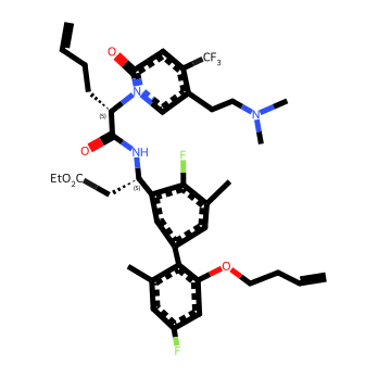 C=CCCOc1cc(F)cc(C)c1-c1cc(C)c(F)c([C@H](CC(=O)OCC)NC(=O)[C@H](CCC=C)n2cc(CCN(C)C)c(C(F)(F)F)cc2=O)c1